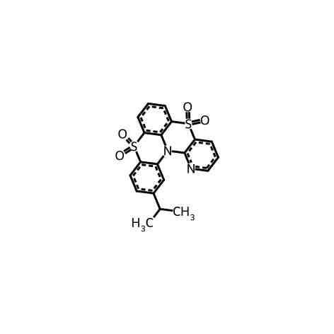 CC(C)c1ccc2c(c1)N1c3ncccc3S(=O)(=O)c3cccc(c31)S2(=O)=O